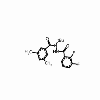 Cc1cc(C)cc(C(=O)N(NC(=O)c2cccc(F)c2F)C(C)(C)C)c1